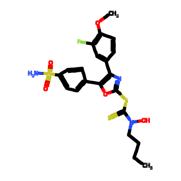 CCCCN(O)C(=S)Sc1nc(-c2ccc(OC)c(F)c2)c(-c2ccc(S(N)(=O)=O)cc2)o1